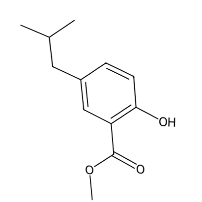 COC(=O)c1cc(CC(C)C)ccc1O